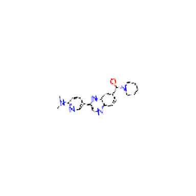 CN(C)c1ccc(-c2cnc3ccc(C(=O)N4CCCCC4)cc3n2)cn1